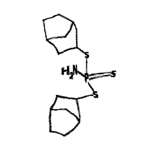 NP(=S)(SC1CC2CCC1C2)SC1CC2CCC1C2